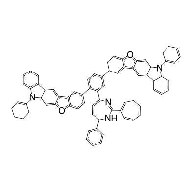 C1=CC(c2ccccc2)NC(C2=CCC=CC=C2)=NC=1c1cc(C2C=c3c(oc4c3=CC3C5C=CC=CC5N(C5=CC=CCC5)C3C=4)=CC2)ccc1-c1ccc2oc3c(c2c1)=CC1c2ccccc2N(C2=CCCCC2)C1C=3